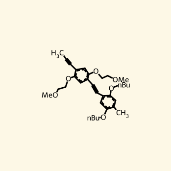 CC#Cc1cc(OCCOC)c(C#Cc2cc(OCCCC)c(C)cc2OCCCC)cc1OCCOC